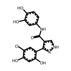 O=C(Nc1ccc(O)c(O)c1)c1c[nH]nc1-c1cc(Cl)c(O)cc1O